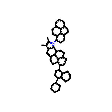 Cc1c(C)n(-c2ccc3ccc4cccc5ccc2c3c45)c2c1cc1ccc3c(-c4ccc(-c5ccccc5)c5ccccc45)ccc4ccc2c1c43